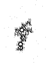 C=CC(=O)Nc1cc(Nc2cc(-c3ccc4c(ccn4C)c3)ncn2)c(OC)cc1N(C)CCN(C)C